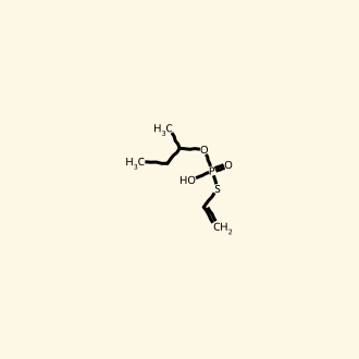 C=CSP(=O)(O)OC(C)CC